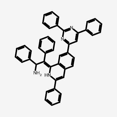 NC(/C(=C1\NC(c2ccccc2)=Cc2ccc(-c3cc(-c4ccccc4)nc(-c4ccccc4)n3)cc21)c1ccccc1)c1ccccc1